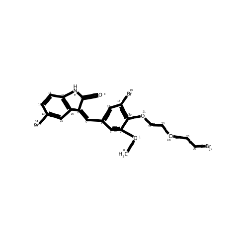 COc1cc(C=C2C(=O)Nc3ccc(Br)cc32)cc(Br)c1OCCOCCBr